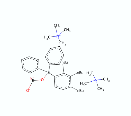 CCCCc1ccc([Si](OB([O-])[O-])(c2ccccc2)c2ccccc2)c(CCCC)c1CCCC.C[N+](C)(C)C.C[N+](C)(C)C